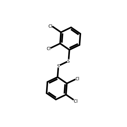 Clc1cccc(SSc2cccc(Cl)c2Cl)c1Cl